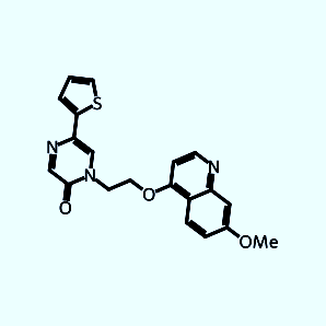 COc1ccc2c(OCCn3cc(-c4cccs4)ncc3=O)ccnc2c1